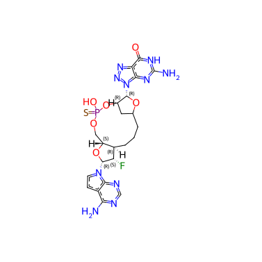 Nc1nc2c(nnn2[C@@H]2OC3CCC[C@H]4[C@H](F)[C@H](n5ccc6c(N)ncnc65)O[C@@H]4COP(O)(=S)O[C@@H]2C3)c(=O)[nH]1